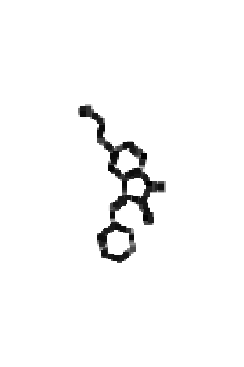 O=C1Nc2ccc(CCCl)cc2C1=CC1C=CCCC1